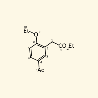 CCOC(=O)Cc1cc(C(C)=O)ccc1OCC